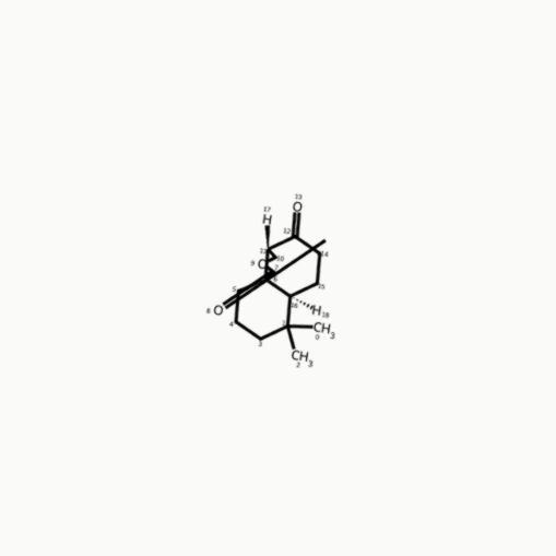 CC1(C)CCC[C@]23C(=O)OC[C@H]2C(=O)CC[C@@H]13